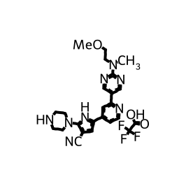 COCCN(C)c1ncc(-c2cc(-c3cc(C#N)c(N4CCNCC4)[nH]3)ccn2)cn1.O=C(O)C(F)(F)F